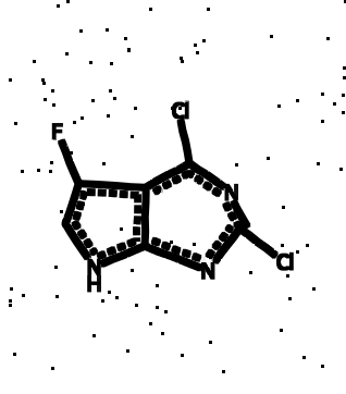 Fc1c[nH]c2nc(Cl)nc(Cl)c12